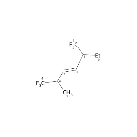 CCC(C=CC(C)C(F)(F)F)C(F)(F)F